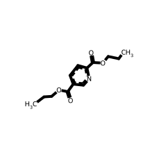 CCCOC(=O)c1ccc(C(=O)OCCC)nc1